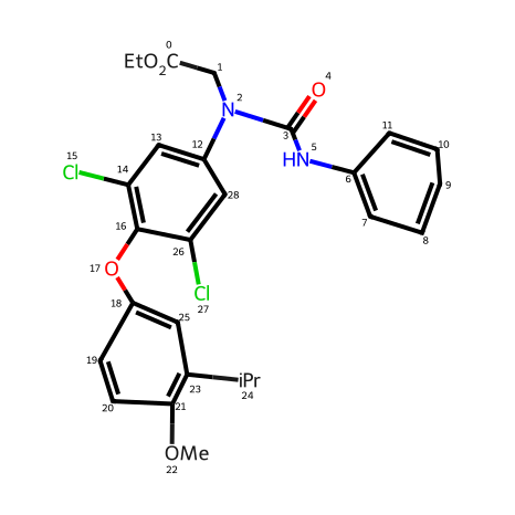 CCOC(=O)CN(C(=O)Nc1ccccc1)c1cc(Cl)c(Oc2ccc(OC)c(C(C)C)c2)c(Cl)c1